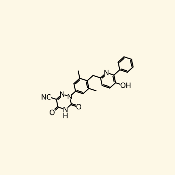 Cc1cc(-n2nc(C#N)c(=O)[nH]c2=O)cc(C)c1Cc1ccc(O)c(-c2ccccc2)n1